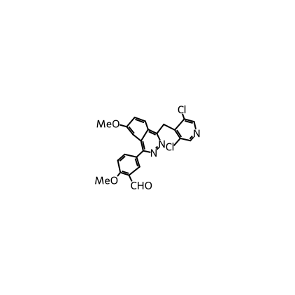 COc1ccc2c(Cc3c(Cl)cncc3Cl)nnc(-c3ccc(OC)c(C=O)c3)c2c1